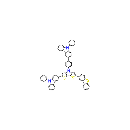 c1ccc(-n2c3ccccc3c3cc(-c4ccc(-n5c6cc(-c7ccc8sc9ccccc9c8c7)sc6c6sc(-c7ccc8c(c7)c7ccccc7n8-c7ccccc7)cc65)cc4)ccc32)cc1